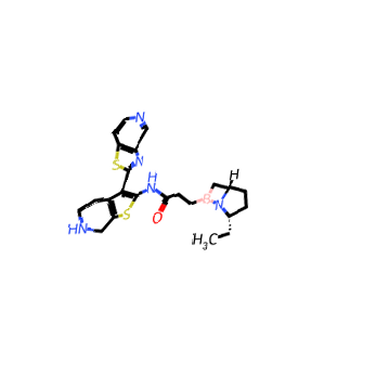 CC[C@H]1CC[C@H]2CB(CCC(=O)Nc3sc4c(c3-c3nc5cnccc5s3)CCNC4)N12